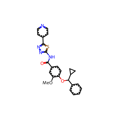 COc1cc(C(=O)Nc2nnc(-c3ccncc3)s2)ccc1OC(c1ccccc1)C1CC1